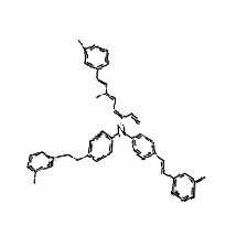 C=C\C(=C/C=C(C)/C=C/c1cccc(C)c1)N(c1ccc(/C=C/c2cccc(C)c2)cc1)c1ccc(CCc2cccc(C)c2)cc1